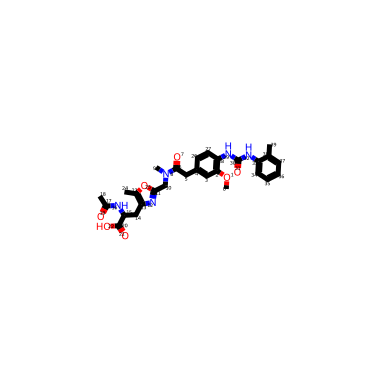 COc1cc(CC(=O)N(C)Cc2nc(CC(NC(C)=O)C(=O)O)c(C)o2)ccc1NC(=O)Nc1ccccc1C